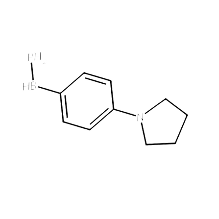 PBc1ccc(N2CCCC2)cc1